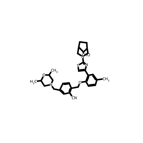 Cc1ccc(OCc2ccc(CN3CC(C)OC(C)C3)cc2C#N)c(-c2csc(N3CC4CCC(C3)C4C=O)n2)c1